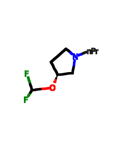 CCCN1CC[C@@H](OC(F)F)C1